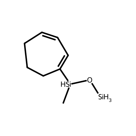 C[SiH](O[SiH3])C1=CC=CCCC1